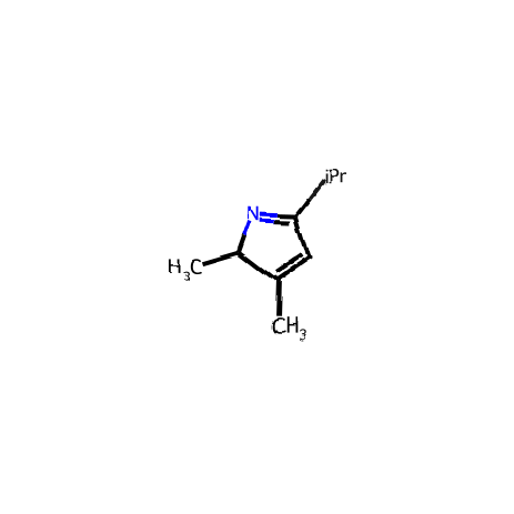 CC1=CC(C(C)C)=NC1C